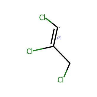 Cl/[C]=C(\Cl)CCl